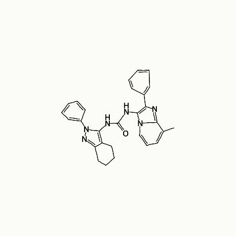 Cc1cccn2c(NC(=O)Nc3c4c(nn3-c3ccccc3)CCCC4)c(-c3ccccc3)nc12